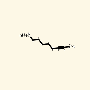 [CH2]CCC#CCCCCCCCCCCC